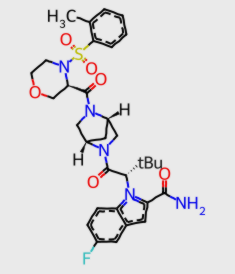 Cc1ccccc1S(=O)(=O)N1CCOC[C@@H]1C(=O)N1C[C@@H]2C[C@H]1CN2C(=O)[C@@H](n1c(C(N)=O)cc2cc(F)ccc21)C(C)(C)C